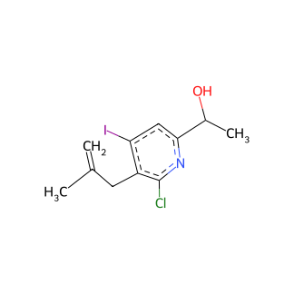 C=C(C)Cc1c(I)cc(C(C)O)nc1Cl